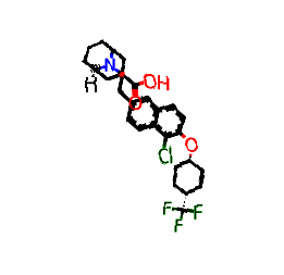 O=C(O)C1CC2CCC[C@H](C1)N2CCc1ccc2c(Cl)c(O[C@H]3CC[C@@H](C(F)(F)F)CC3)ccc2c1